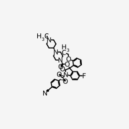 CCOc1ccccc1C1(OC(=O)N2CCN(C3CCN(C)CC3)CC2)C(=O)N(S(=O)(=O)c2ccc(C#N)cc2)c2ccc(F)cc21